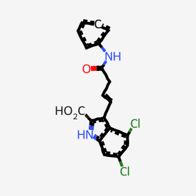 O=C(CC=Cc1c(C(=O)O)[nH]c2cc(Cl)cc(Cl)c12)Nc1ccccc1